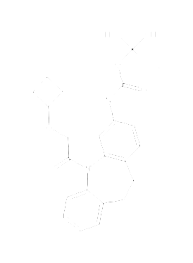 CC(C)(C)OC(=O)Nc1ccc2c(c1)N(C(=O)COC1CCC1)c1ccccc1CC2